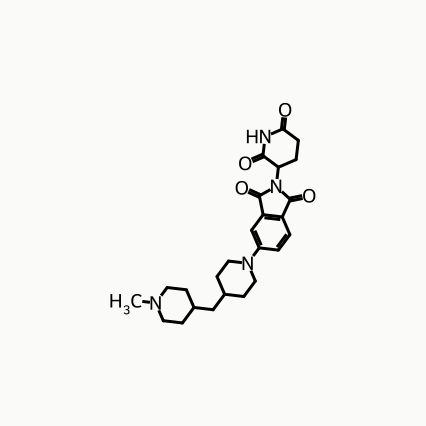 CN1CCC(CC2CCN(c3ccc4c(c3)C(=O)N(C3CCC(=O)NC3=O)C4=O)CC2)CC1